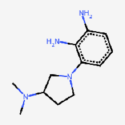 CN(C)C1CCN(c2cccc(N)c2N)C1